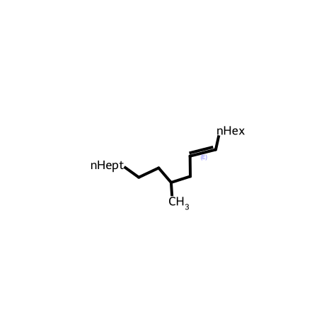 [CH2]CCCCC/C=C/CC(C)CCCCCCCC[CH2]